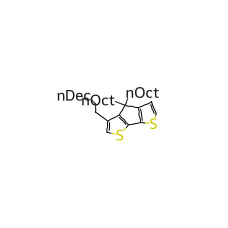 CCCCCCCCCCCCc1csc2c1C(CCCCCCCC)(CCCCCCCC)c1ccsc1-2